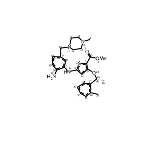 COC(=O)c1sc(Nc2cc(CN3CCN(C)CC3)ccc2N)cc1O[C@H](C)c1ccccc1C